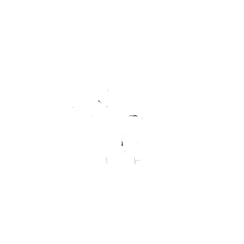 O=C1C=C[C@@]2(OI)[C@@H]3CCC[C@@]24c2c(cccc2O[C@@H]14)C3